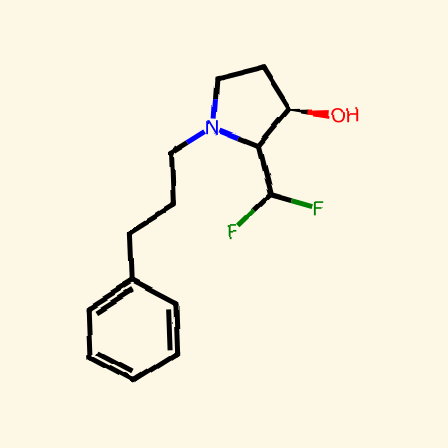 O[C@@H]1CCN(CCCc2ccccc2)C1C(F)F